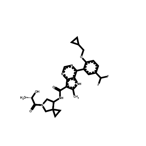 Cc1[nH]c2c(-c3cc(C(F)F)ccc3OCC3CC3)ncnc2c1C(=O)NC1CN(C(=O)[C@H](C)O)CC12CC2